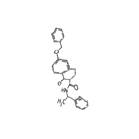 CC(NC(=O)C1CCc2cc(OCc3ccccc3)ccc2C1=O)c1ccccc1